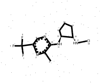 Cc1nc(C(F)(F)F)cnc1N[C@H]1CCC[C@@H]1NCl